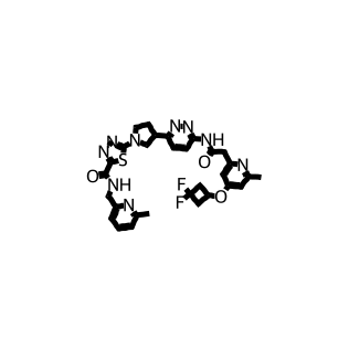 Cc1cccc(CNC(=O)c2nnc(N3CCC(c4ccc(NC(=O)Cc5cc(OC6CC(F)(F)C6)cc(C)n5)nn4)C3)s2)n1